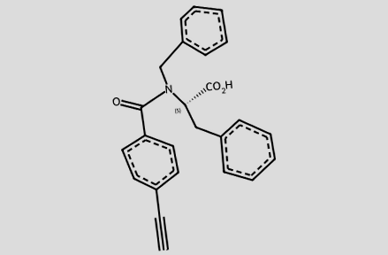 [C]#Cc1ccc(C(=O)N(Cc2ccccc2)[C@@H](Cc2ccccc2)C(=O)O)cc1